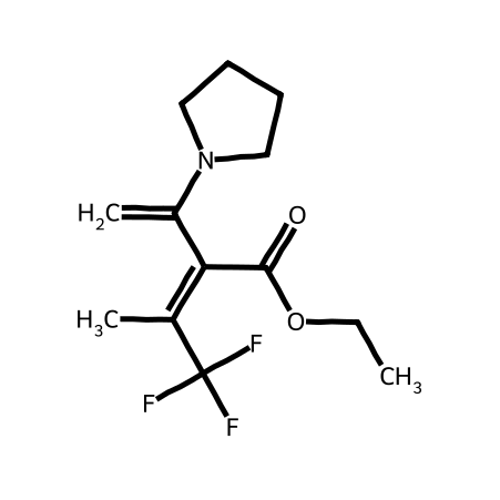 C=C(/C(C(=O)OCC)=C(\C)C(F)(F)F)N1CCCC1